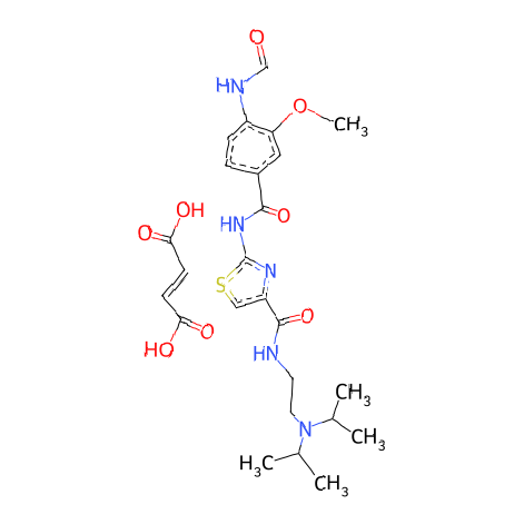 COc1cc(C(=O)Nc2nc(C(=O)NCCN(C(C)C)C(C)C)cs2)ccc1NC=O.O=C(O)/C=C/C(=O)O